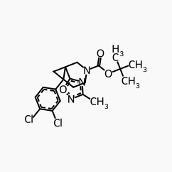 Cc1noc(C23CN(C(=O)OC(C)(C)C)CCC2(c2ccc(Cl)c(Cl)c2)C3)n1